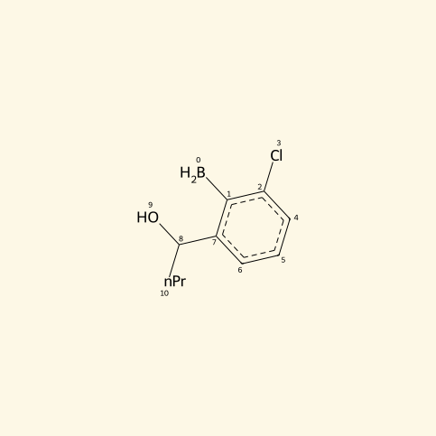 Bc1c(Cl)cccc1C(O)CCC